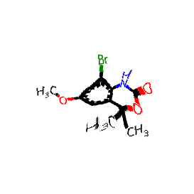 COc1cc(Br)c2c(c1)C(C)(C)OC(=O)N2